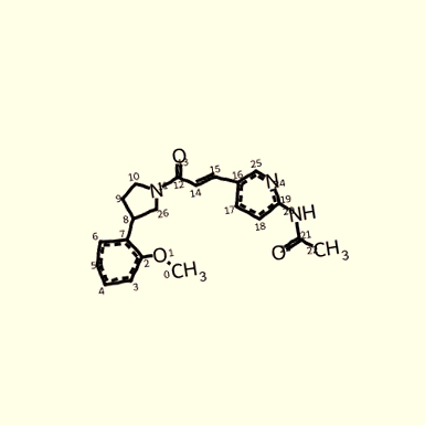 COc1ccccc1C1CCN(C(=O)/C=C/c2ccc(NC(C)=O)nc2)C1